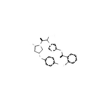 CCCCCCC(C(=O)N1C[C@@H](Oc2ccc(C(=O)O)cc2)C[C@H]1C(=O)O)n1cnc(NC(=O)c2ccccc2S(=O)(=O)O)c1